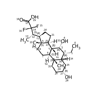 CC[C@H]1[C@@H](O)[C@@H]2[C@H](CC[C@]3(C)[C@@H]([C@H](C)C(F)(F)C(=O)O)CC[C@@H]23)[C@@]2(C)CC[C@@H](O)C[C@@H]12